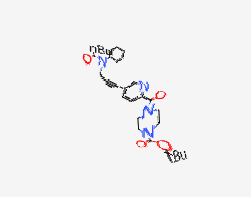 CCCCC(=O)N(CC#Cc1ccc(C(=O)N2CCN(C(=O)OC(C)(C)C)CC2)nc1)c1ccccc1